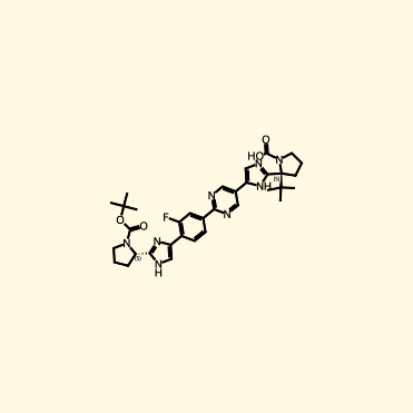 CC(C)(C)OC(=O)N1CCC[C@H]1c1nc(-c2ccc(-c3ncc(-c4cnc([C@@]5(C(C)(C)C)CCCN5C(=O)O)[nH]4)cn3)cc2F)c[nH]1